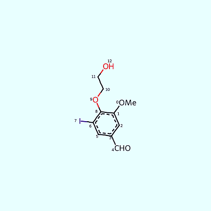 COc1cc(C=O)cc(I)c1OCCO